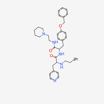 CC(C)CCNC(Cc1ccncc1)C(=O)NC(Cc1ccc(OCc2ccccc2)cc1)C(=O)NCCN1CCCCC1